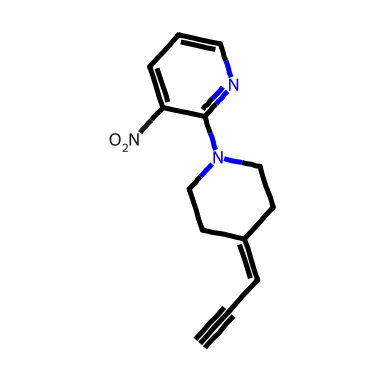 C#CC=C1CCN(c2ncccc2[N+](=O)[O-])CC1